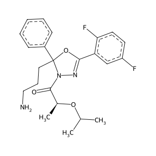 CC(C)O[C@@H](C)C(=O)N1N=C(c2cc(F)ccc2F)OC1(CCCN)c1ccccc1